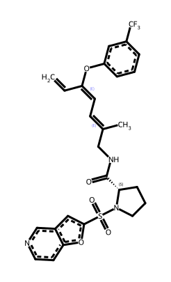 C=C/C(=C\C=C(/C)CNC(=O)[C@@H]1CCCN1S(=O)(=O)c1cc2cnccc2o1)Oc1cccc(C(F)(F)F)c1